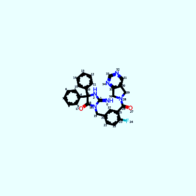 N=C1NC(c2ccccc2)(c2ccccc2)C(=O)N1Cc1ccc(F)c(C(=O)N2Cc3cncnc3C2)c1